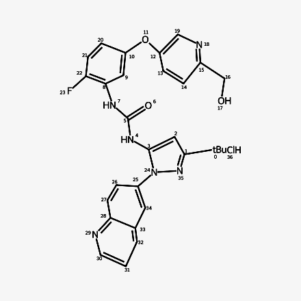 CC(C)(C)c1cc(NC(=O)Nc2cc(Oc3ccc(CO)nc3)ccc2F)n(-c2ccc3ncccc3c2)n1.Cl